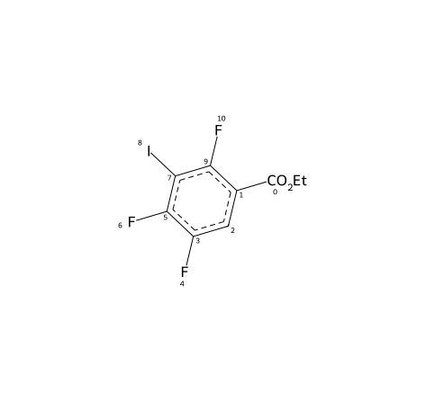 CCOC(=O)c1cc(F)c(F)c(I)c1F